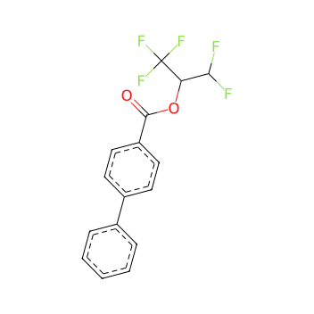 O=C(OC(C(F)F)C(F)(F)F)c1ccc(-c2ccccc2)cc1